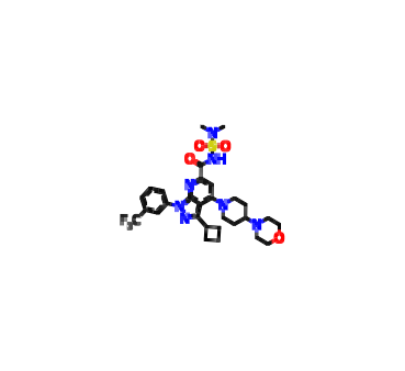 CN(C)S(=O)(=O)NC(=O)c1cc(N2CCC(N3CCOCC3)CC2)c2c(C3CCC3)nn(-c3cccc(C(F)(F)F)c3)c2n1